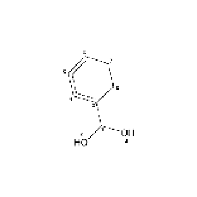 OC(O)C1=C=C=CCC1